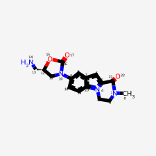 CN1CCn2c(cc3cc(N4C[C@H](CN)OC4=O)ccc32)C1=O